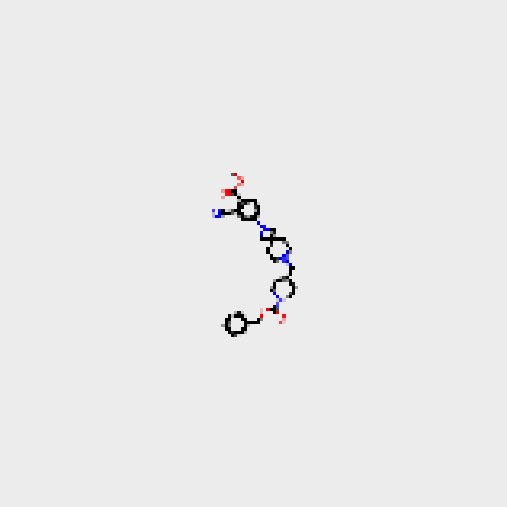 COC(=O)c1ccc(N2CC3(CCN(CC4CCN(C(=O)OCc5ccccc5)CC4)CC3)C2)cc1C#N